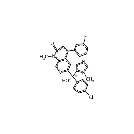 Cn1cncc1[C@@](O)(c1ccc(Cl)cc1)c1cc2c(-c3cccc(F)c3)cc(=O)n(C)c2cn1